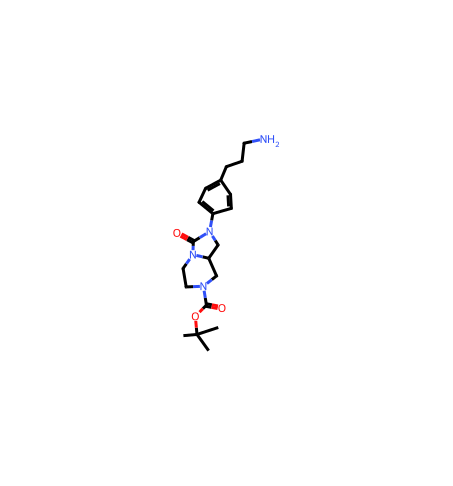 CC(C)(C)OC(=O)N1CCN2C(=O)N(c3ccc(CCCN)cc3)CC2C1